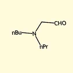 CCCCN(CC=O)CCC